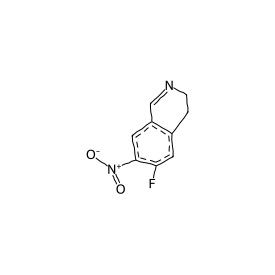 O=[N+]([O-])c1cc2c(cc1F)CCN=C2